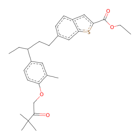 CCOC(=O)c1cc2ccc(CCC(CC)c3ccc(OCC(=O)C(C)(C)C)c(C)c3)cc2s1